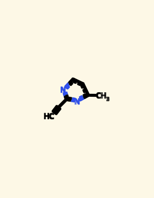 C#Cc1nccc(C)n1